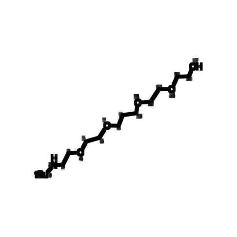 CC(C)(C)NCCOCCOCCCOCCOCCO